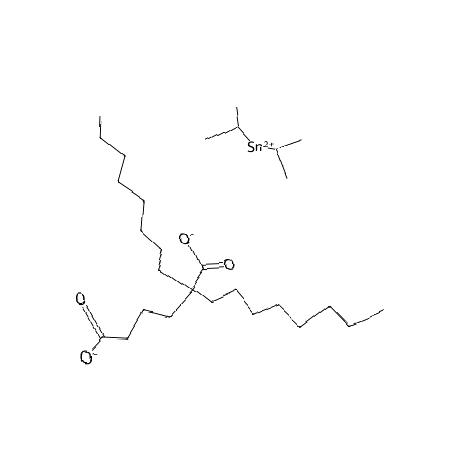 CCCCCCCCC(CCCCCCCC)(CCCC(=O)[O-])C(=O)[O-].C[CH](C)[Sn+2][CH](C)C